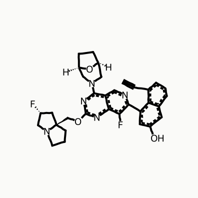 C#Cc1cccc2cc(O)cc(-c3ncc4c(N5C[C@H]6CC[C@@H](C5)O6)nc(OC[C@@]56CCCN5C[C@H](F)C6)nc4c3F)c12